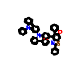 c1ccc(-c2nc3c(-c4ccc(N(c5ccc6c7ccccc7n(-c7ccccc7)c6c5)c5ccccc5-c5ccccc5)cc4)c4c(cc3s2)oc2ccccc24)cc1